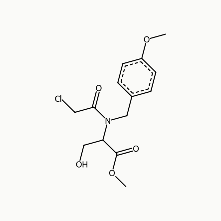 COC(=O)C(CO)N(Cc1ccc(OC)cc1)C(=O)CCl